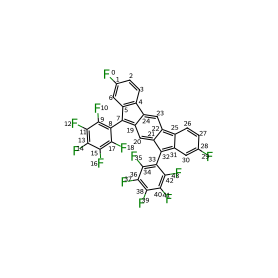 Fc1ccc2c(c1)C(c1c(F)c(F)c(F)c(F)c1F)=c1cc3c(cc1-2)=c1ccc(F)cc1=C3c1c(F)c(F)c(F)c(F)c1F